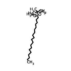 CCCCCCCCCCCCCCCCCCC[Si](OC)(OC)C(C)(C)C